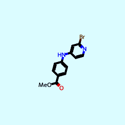 COC(=O)c1ccc(Nc2ccnc(Br)c2)cc1